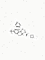 O=C(N[C@H]1C[C@H](O)C1)[C@@H]1CC[C@@]2(S(=O)(=O)c3ccc(F)cc3)c3ccc(C(F)(C(F)(F)F)C(F)(F)F)cc3CC[C@@H]12